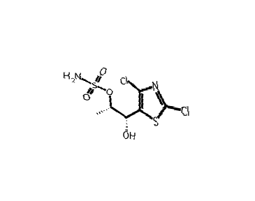 C[C@H](OS(N)(=O)=O)[C@@H](O)c1sc(Cl)nc1Cl